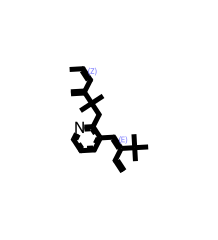 C=C/C(=C\c1cccnc1CC(C)(C)C(=C)/C=C\C)C(C)(C)C